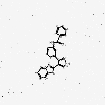 O=C(Nc1cccc(-c2n[nH]cc2-c2nc3ccccc3o2)c1)c1ccccc1